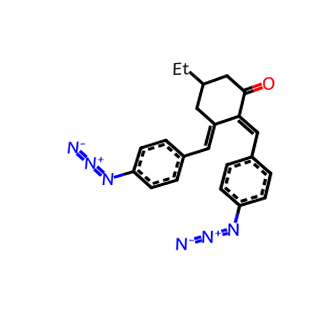 CCC1CC(=O)C(=Cc2ccc(N=[N+]=[N-])cc2)C(=Cc2ccc(N=[N+]=[N-])cc2)C1